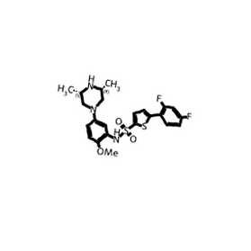 COc1ccc(N2C[C@@H](C)N[C@@H](C)C2)cc1NS(=O)(=O)c1ccc(-c2ccc(F)cc2F)s1